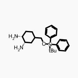 CC(C)(C)[Si](OCC1CC[C@@H](N)[C@@H](N)C1)(c1ccccc1)c1ccccc1